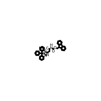 O=C(N[C@@H](Cc1nnn(C(c2ccccc2)(c2ccccc2)c2ccccc2)n1)C(=O)O)OCC1c2ccccc2-c2ccccc21